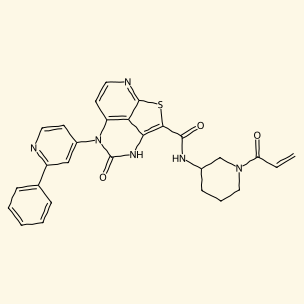 C=CC(=O)N1CCCC(NC(=O)c2sc3nccc4c3c2NC(=O)N4c2ccnc(-c3ccccc3)c2)C1